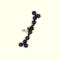 CC1(C)c2cc(/C=C/c3ccc(-c4ccc5c(c4)c4ccccc4n5-c4ccccc4)cc3)ccc2-c2ccc(/C=C/c3ccc(-c4ccc5c(c4)c4ccccc4n5-c4ccccc4)cc3)cc21